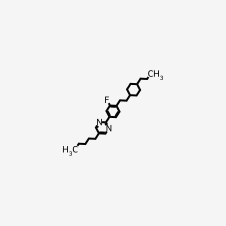 CCCCCc1cnc(-c2ccc(CCC3CCC(CCC)CC3)c(F)c2)nc1